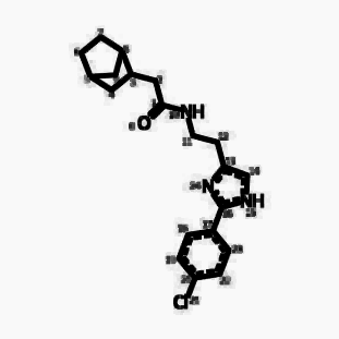 O=C(CC1CC2CCC1C2)NCCc1c[nH]c(-c2ccc(Cl)cc2)n1